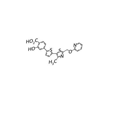 Cc1nc(COc2ccccn2)sc1-c1ccc(-c2ccc(C(=O)O)c(O)c2)s1